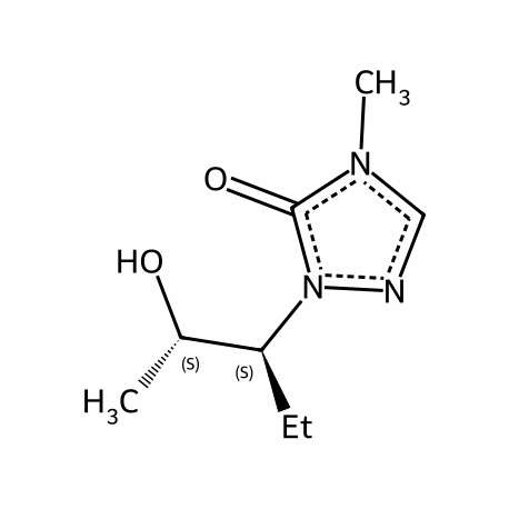 CC[C@@H]([C@H](C)O)n1ncn(C)c1=O